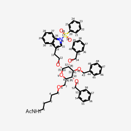 CC(=O)NCCCCCOC[C@H]1O[C@H](OCCc2cn(S(=O)(=O)c3ccccc3)c3ccccc23)[C@H](OCc2ccccc2)[C@@H](OCc2ccccc2)[C@@H]1OCc1ccccc1